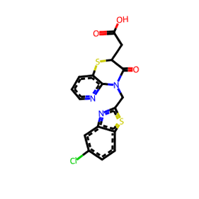 O=C(O)CC1Sc2cccnc2N(Cc2nc3cc(Cl)ccc3s2)C1=O